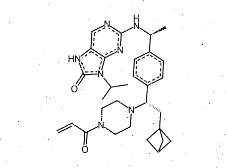 C=CC(=O)N1CCN([C@@H](CC23CC(C2)C3)c2ccc([C@H](C)Nc3ncc4[nH]c(=O)n(C(C)C)c4n3)cc2)CC1